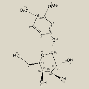 COc1cc(O[C@H]2O[C@H](CO)[C@H](O)[C@H](O)[C@H]2O)ccc1C=O